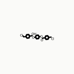 O=C(Oc1ccc(OC(O)c2ccc(CCl)cc2)cc1)c1ccc(CCl)cc1